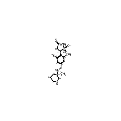 C[C@@]1(NCc2cc(O)c(N3CC(=O)NS3(=O)=O)c(F)c2)CCCOC1